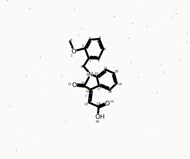 COc1ccccc1CN1C(=O)/C(=C/C(=O)O)c2ccccc21